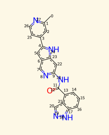 Cc1cc(-c2cc3cnc(NC(=O)c4cccc5[nH]ncc45)cc3[nH]2)ccn1